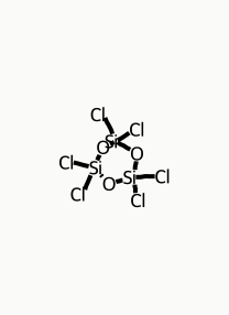 Cl[Si]1(Cl)O[Si](Cl)(Cl)O[Si](Cl)(Cl)O1